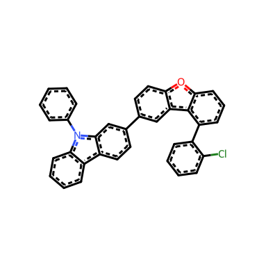 Clc1ccccc1-c1cccc2oc3ccc(-c4ccc5c6ccccc6n(-c6ccccc6)c5c4)cc3c12